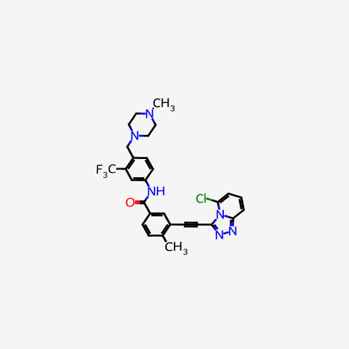 Cc1ccc(C(=O)Nc2ccc(CN3CCN(C)CC3)c(C(F)(F)F)c2)cc1C#Cc1nnc2cccc(Cl)n12